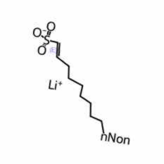 CCCCCCCCCCCCCCCC/C=C/S(=O)(=O)[O-].[Li+]